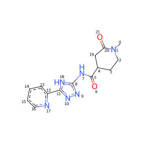 CN1CCC(C(=O)Nc2nnc(-c3ccccn3)[nH]2)CC1=O